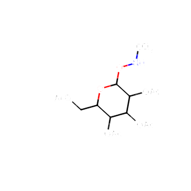 CC(=O)OCC1OC(ONC(Cl)(Cl)Cl)C(OC(C)=O)C(OC(C)=O)C1OC(C)=O